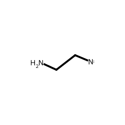 [N]CCN